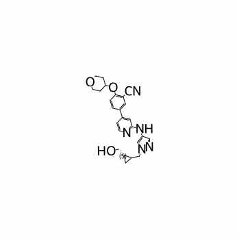 N#Cc1cc(-c2ccnc(Nc3cnn(CC4C[C@@H]4CO)c3)c2)ccc1OC1CCOCC1